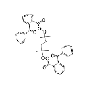 CC(C)(CCC(C)(C)OOC(=O)c1ccccc1C(=O)c1ccccc1)OOC(=O)c1ccccc1C(=O)c1ccccc1